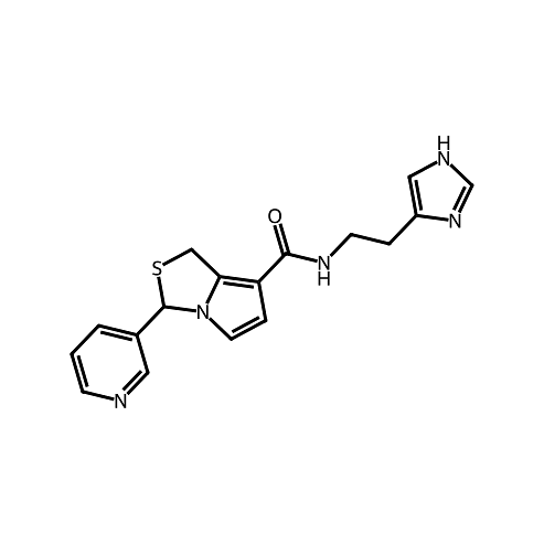 O=C(NCCc1c[nH]cn1)c1ccn2c1CSC2c1cccnc1